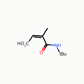 CC(=CC(=O)O)C(=O)NC(C)(C)C